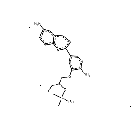 CC(C)(C)[Si](C)(C)OC(CF)COc1cc(-c2ccc3cc(N)ccc3n2)cnc1N